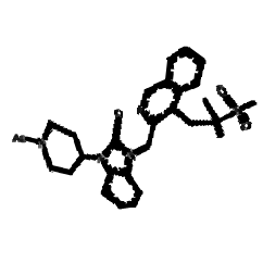 CC(=O)N1CCC(n2c(=O)n(Cc3ncc4ccccc4c3CC(C)(C)S(C)(=O)=O)c3ccccc32)CC1